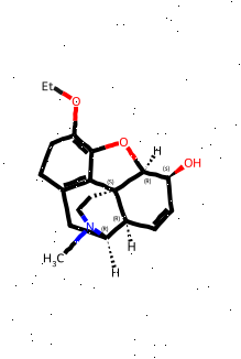 CCOC1=C2O[C@H]3[C@@H](O)C=C[C@H]4[C@H]5CC(=C2[C@]43CCN5C)CC1